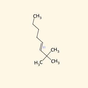 CCCC/C=C/C(C)(C)C